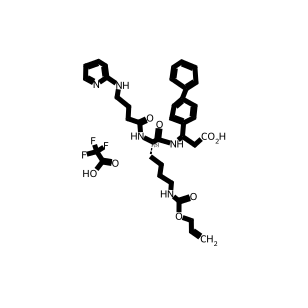 C=CCOC(=O)NCCCC[C@H](NC(=O)CCCNc1ccccn1)C(=O)NC(CC(=O)O)c1ccc(-c2ccccc2)cc1.O=C(O)C(F)(F)F